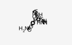 NC(=O)COc1ccc(Sc2ccc(Sc3nnc[nH]3)nc2C(=O)NC2=NCCS2)cc1